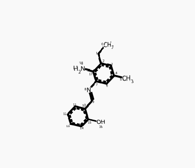 CCc1cc(C)cc(N=Cc2ccccc2O)c1N